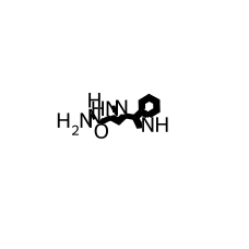 NNC(=O)c1cc(-c2c[nH]c3ccccc23)n[nH]1